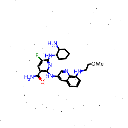 COCCNc1cccc2cc(Nc3nc(N[C@@H]4CCCCC4N)c(F)cc3C(N)=O)cnc12